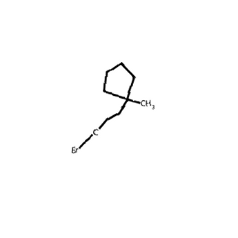 CC1(CCCBr)CCCC1